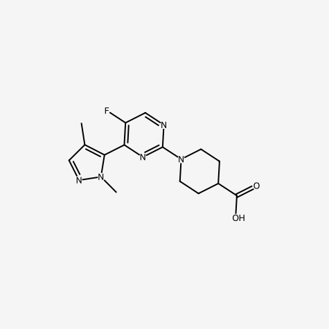 Cc1cnn(C)c1-c1nc(N2CCC(C(=O)O)CC2)ncc1F